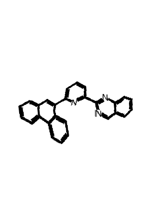 c1cc(-c2ncc3ccccc3n2)nc(-c2cc3ccccc3c3ccccc23)c1